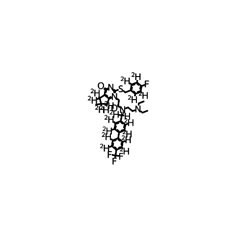 [2H]c1c([2H])c(CSc2nc(=O)c3c(n2CC(=O)N(CCN(CC)CC)C([2H])([2H])c2c([2H])c([2H])c(-c4c([2H])c([2H])c(C(F)(F)F)c([2H])c4[2H])c([2H])c2[2H])C([2H])([2H])C([2H])(C)C3([2H])[2H])c([2H])c([2H])c1F